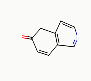 O=C1C=Cc2cnccc2C1